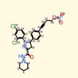 O=C(NN1CCCCC1)C1=NN(c2ccc(Cl)cc2Cl)C(c2ccc(C#CCCO[N+](=O)[O-])cc2)C1